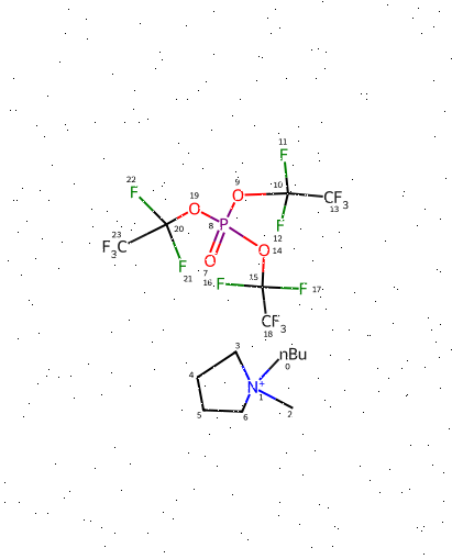 CCCC[N+]1(C)CCCC1.O=P(OC(F)(F)C(F)(F)F)(OC(F)(F)C(F)(F)F)OC(F)(F)C(F)(F)F